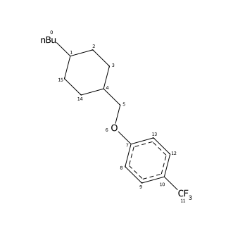 CCCCC1CCC(COc2ccc(C(F)(F)F)cc2)CC1